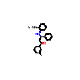 CC(=O)Nc1ccccc1NC(=CC(=O)c1cccc(C)c1)c1ccccc1